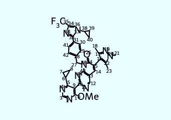 COc1ncnc(C2CC2)c1-c1ncc2cc(-c3c(C)nn(C)c3C)c(=O)n(Cc3ccc(-c4nc(C(F)(F)F)cn4C4CC4)cc3)c2n1